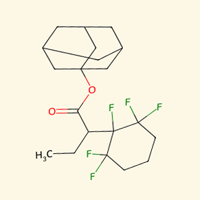 CCC(C(=O)OC12CC3CC(CC(C3)C1)C2)C1(F)C(F)(F)CCCC1(F)F